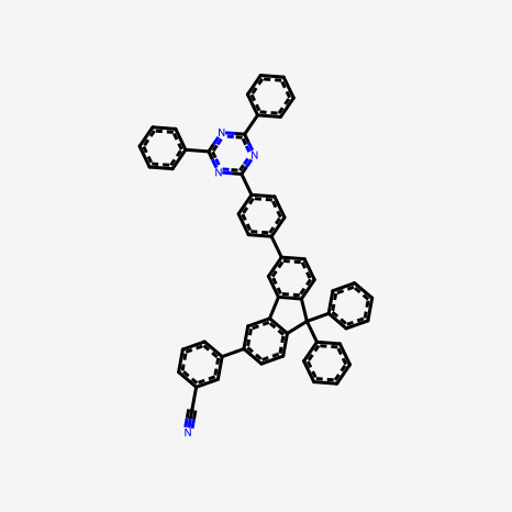 N#Cc1cccc(-c2ccc3c(c2)-c2cc(-c4ccc(-c5nc(-c6ccccc6)nc(-c6ccccc6)n5)cc4)ccc2C3(c2ccccc2)c2ccccc2)c1